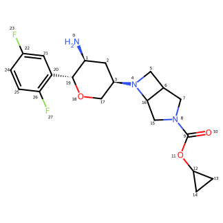 N[C@H]1C[C@@H](N2CC3CN(C(=O)OC4CC4)CC32)CO[C@@H]1c1cc(F)ccc1F